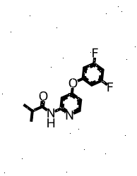 CC(C)C(=O)Nc1cc(Oc2cc(F)cc(F)c2)ccn1